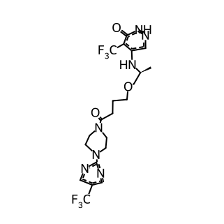 C[C@@H](COCCCC(=O)N1CCN(c2ncc(C(F)(F)F)cn2)CC1)Nc1cn[nH]c(=O)c1C(F)(F)F